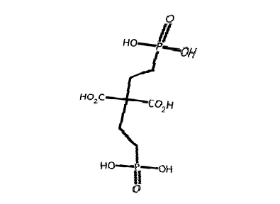 O=C(O)C(CCP(=O)(O)O)(CCP(=O)(O)O)C(=O)O